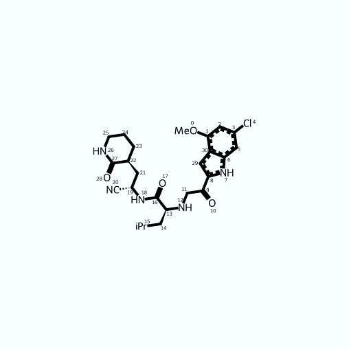 COc1cc(Cl)cc2[nH]c(C(=O)CN[C@@H](CC(C)C)C(=O)N[C@H](C#N)C[C@@H]3CCCNC3=O)cc12